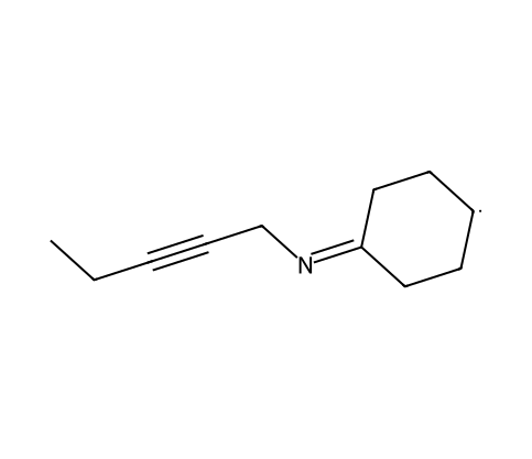 CCC#CCN=C1CC[CH]CC1